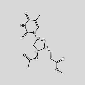 COC(=O)C=C[C@H]1O[C@@H](n2cc(C)c(=O)[nH]c2=O)C[C@@H]1OC(C)=O